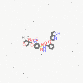 COC1(COc2ccc(S(=O)(=O)NC(=O)c3ccccc3Oc3cnc4[nH]ccc4c3)cc2[N+](=O)[O-])CCOCC1